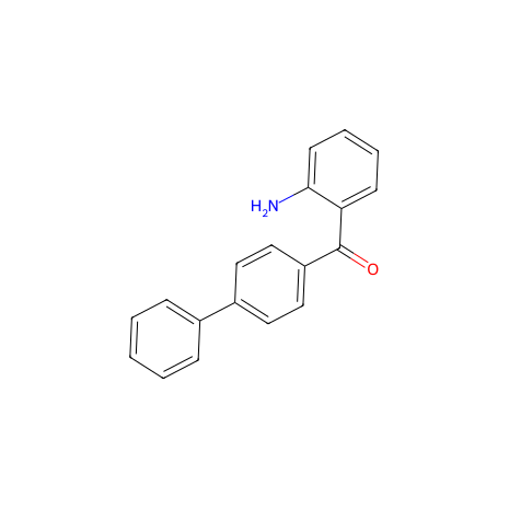 Nc1ccccc1C(=O)c1ccc(-c2ccccc2)cc1